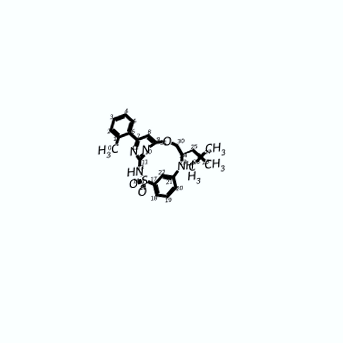 Cc1ccccc1-c1cc2nc(n1)NS(=O)(=O)c1cccc(c1)N[C@H](CC(C)(C)C)CO2